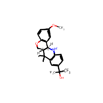 CC1(C)c2cc(C(O)(C(F)(F)F)C(F)(F)F)ccc2N[C@@H]2c3cc(OC(F)(F)F)ccc3OC[C@H]21